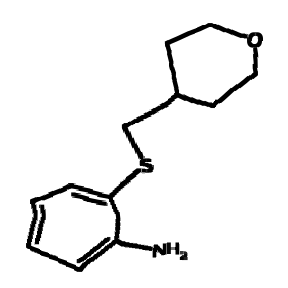 Nc1ccccc1SCC1CCOCC1